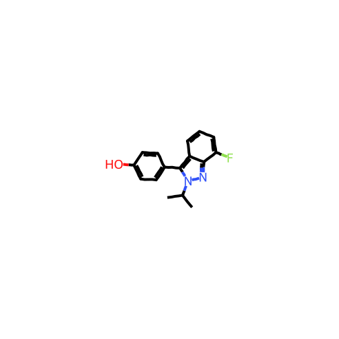 CC(C)n1nc2c(F)cccc2c1-c1ccc(O)cc1